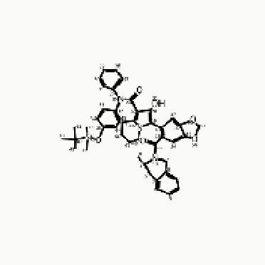 C[C@@H]1Cc2ccccc2CN1C(=O)c1cc2c(cc1-c1c(O)c(C(=O)N(c3ccccc3)c3ccc(O[Si](C)(C)C(C)(C)C)cc3)c3n1CCCC3)OCO2